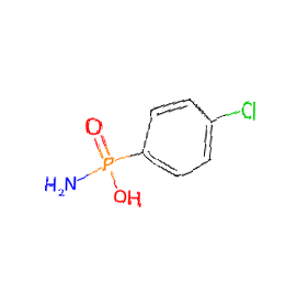 NP(=O)(O)c1ccc(Cl)cc1